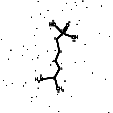 CC(N)CCCCP(=O)(O)O